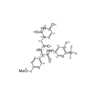 COCc1ccc([C@@H](NC(=O)Cn2ccc(=O)[nH]c2=O)C(=O)Nc2ccc([Si](C)(C)C)c(F)c2)cc1